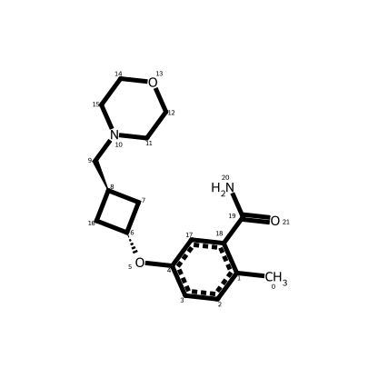 Cc1ccc(O[C@H]2C[C@H](CN3CCOCC3)C2)cc1C(N)=O